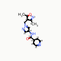 Cc1noc(C)c1Cn1cc(NC(=O)c2ccncc2)cn1